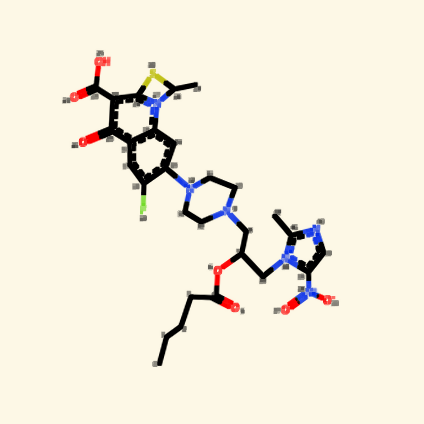 CCCCC(=O)OC(CN1CCN(c2cc3c(cc2F)c(=O)c(C(=O)O)c2n3C(C)S2)CC1)Cn1c([N+](=O)[O-])cnc1C